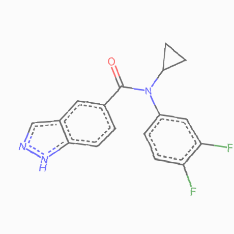 O=C(c1ccc2[nH]ncc2c1)N(c1ccc(F)c(F)c1)C1CC1